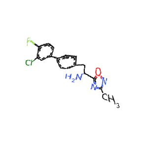 Cc1noc([C@H](N)Cc2ccc(-c3ccc(F)c(Cl)c3)cc2)n1